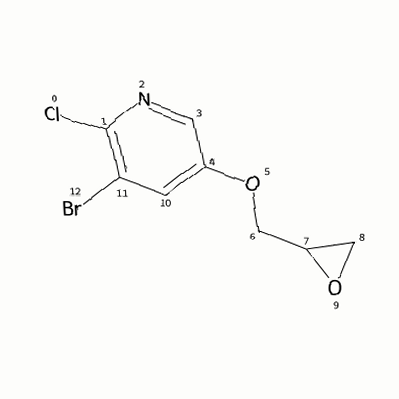 Clc1ncc(OCC2CO2)cc1Br